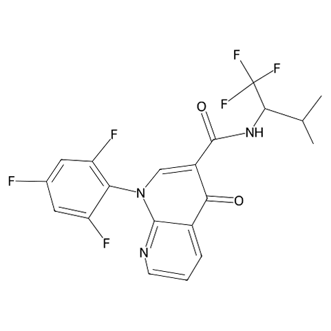 CC(C)C(NC(=O)c1cn(-c2c(F)cc(F)cc2F)c2ncccc2c1=O)C(F)(F)F